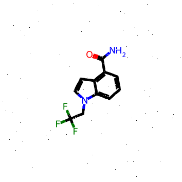 NC(=O)c1cccc2c1ccn2CC(F)(F)F